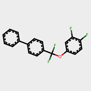 Fc1ccc(OC(F)(F)c2ccc(-c3ccccc3)cc2)cc1F